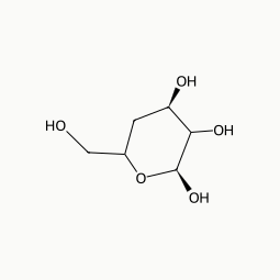 OCC1C[C@@H](O)C(O)[C@@H](O)O1